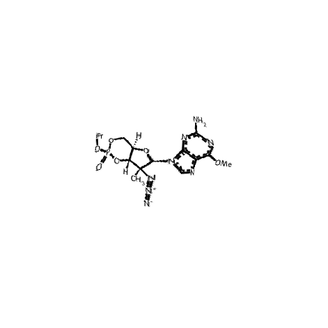 COc1nc(N)nc2c1ncn2[C@@H]1O[C@@H]2COP(=O)(OC(C)C)O[C@H]2[C@@]1(C)N=[N+]=[N-]